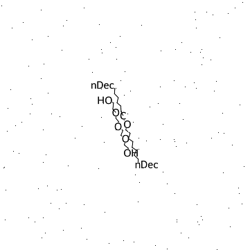 CCCCCCCCCCCCCCCCCCOCCCCCCCCCCCCCCCCCC.OCCOCCOCCOCCO